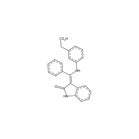 O=C(O)Cc1cccc(NC(=C2C(=O)Nc3ccccc32)c2ccccc2)c1